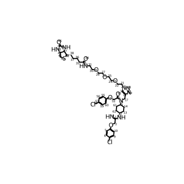 N=C(COc1ccc(Cl)cc1)N[C@H]1CC[C@H](N(Cc2cn(CCOCCOCCOCCNC(=O)CCCC[C@@H]3SCC4NC(=O)NC43)nn2)C(=O)COc2ccc(Cl)cc2)CC1